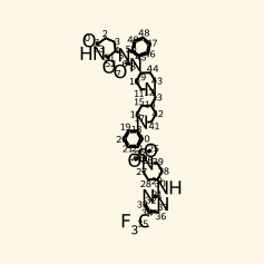 O=C1CCC(n2c(=O)n(C3CCN(CC4CCN(c5cccc(S(=O)(=O)N6CCC(Nc7ncc(C(F)(F)F)cn7)CC6)c5)CC4)CC3)c3ccccc32)C(=O)N1